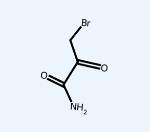 NC(=O)C(=O)CBr